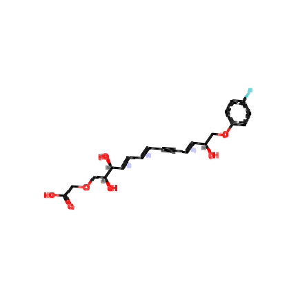 O=C(O)COC[C@H](O)[C@@H](O)/C=C/C=C/C#C/C=C/[C@H](O)COc1ccc(F)cc1